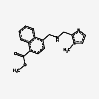 COC(=O)c1ccc(CNCc2nccn2C)c2ccccc12